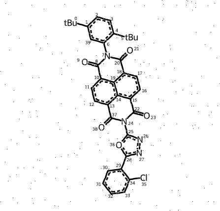 CC(C)(C)c1ccc(C(C)(C)C)c(N2C(=O)c3ccc4c5c(ccc(c35)C2=O)C(=O)N(c2nnc(-c3ccccc3Cl)o2)C4=O)c1